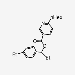 CCCCCCc1ccc(C(=O)OC(CC)c2ccc(CC)cc2)cn1